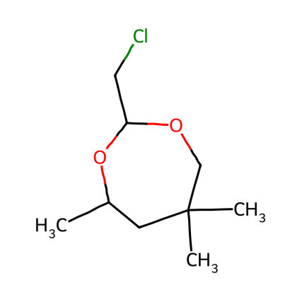 CC1CC(C)(C)COC(CCl)O1